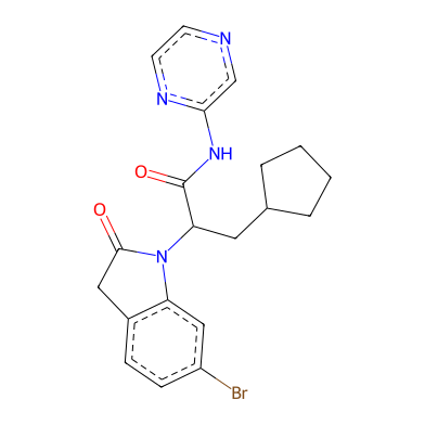 O=C(Nc1cnccn1)C(CC1CCCC1)N1C(=O)Cc2ccc(Br)cc21